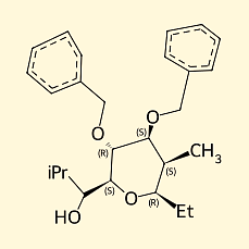 CC[C@H]1O[C@@H](C(O)C(C)C)[C@H](OCc2ccccc2)[C@@H](OCc2ccccc2)[C@H]1C